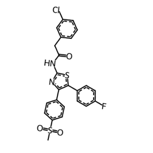 CS(=O)(=O)c1ccc(-c2nc(NC(=O)Cc3cccc(Cl)c3)sc2-c2ccc(F)cc2)cc1